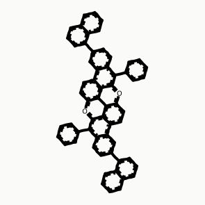 c1ccc(-c2c3ccc(-c4cccc5ccccc45)cc3c3ccc4oc5c(-c6ccccc6)c6ccc(-c7cccc8ccccc78)cc6c6ccc7oc2c3c4-c7c56)cc1